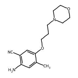 Cc1cc(N)c(C#N)cc1OCCCN1CCOCC1